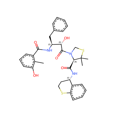 Cc1c(O)cccc1C(=O)N[C@@H](Cc1ccccc1)[C@H](O)C(=O)N1CSC(C)(C)[C@H]1C(=O)N[C@H]1CCSc2ccccc21